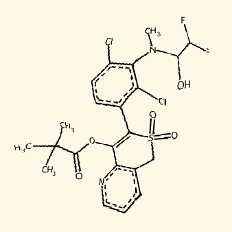 CN(c1c(Cl)ccc(C2=C(OC(=O)C(C)(C)C)c3ncccc3CS2(=O)=O)c1Cl)C(O)C(F)F